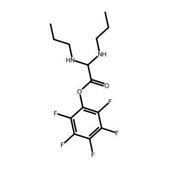 CCCNC(NCCC)C(=O)Oc1c(F)c(F)c(F)c(F)c1F